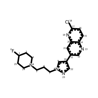 FC1CCN(CCCn2cc(-c3cnc4ccc(Cl)nc4c3)cn2)CC1